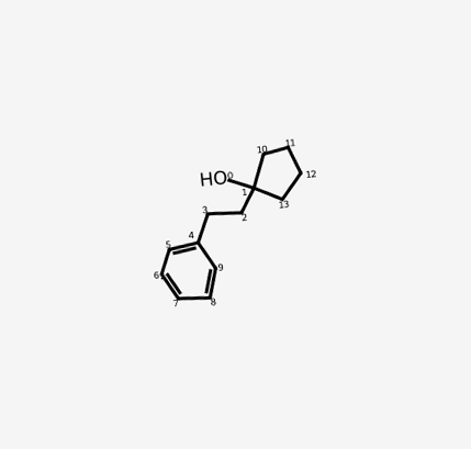 OC1(CCc2c[c]ccc2)CCCC1